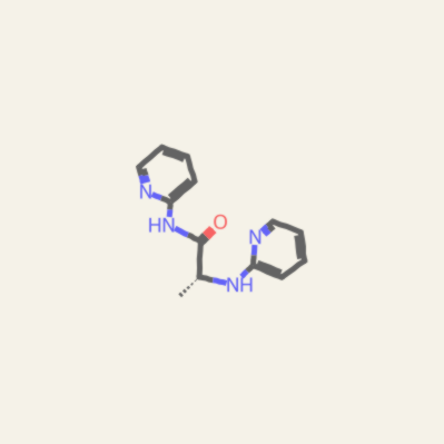 C[C@@H](Nc1ccccn1)C(=O)Nc1ccccn1